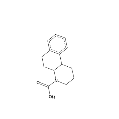 O=C(O)N1CCCC2c3ccccc3CCC21